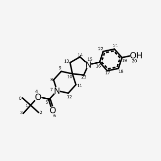 CC(C)(C)OC(=O)N1CCC2(CC1)CCN(c1ccc(O)cc1)C2